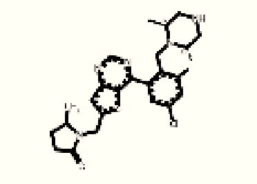 Cc1cc(Cl)cc(-c2ncnc3cc(CN4C(=O)CCC4C(F)(F)F)sc23)c1CN1[C@@H](C)CNC[C@@H]1C